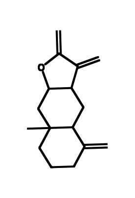 C=C1OC2CC3(C)CCCC(=C)C3CC2C1=C